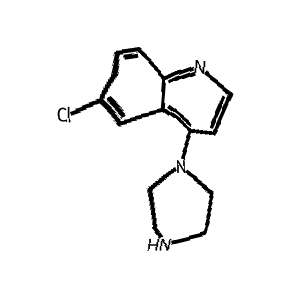 Clc1ccc2nccc(N3CCNCC3)c2c1